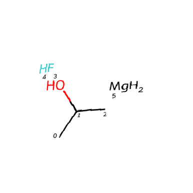 CC(C)O.F.[MgH2]